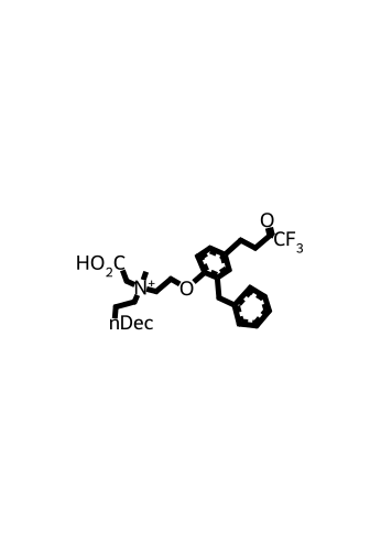 CCCCCCCCCCCC[N+](C)(CCOc1ccc(CCC(=O)C(F)(F)F)cc1Cc1ccccc1)CC(=O)O